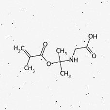 C=C(C)C(=O)OC(C)(C)NCC(=O)O